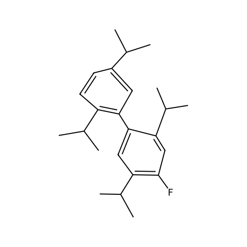 CC(C)c1ccc(C(C)C)c(-c2cc(C(C)C)c(F)cc2C(C)C)c1